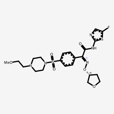 COCCN1CCN(S(=O)(=O)c2ccc(/C(=N\O[C@@H]3CCOC3)C(=O)Nc3ncc(F)s3)cc2)CC1